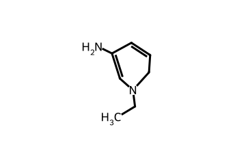 CCN1C=C(N)C=CC1